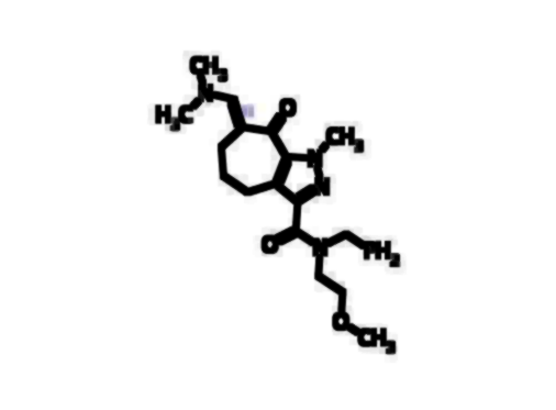 COCCN(CP)C(=O)c1nn(C)c2c1CCC/C(=C\N(C)C)C2=O